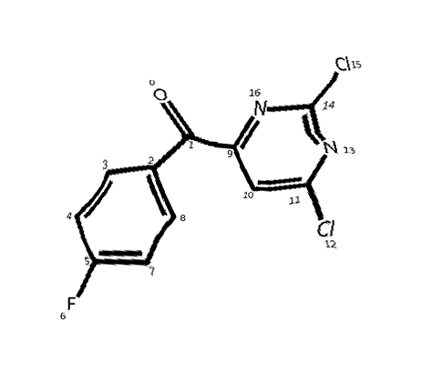 O=C(c1ccc(F)cc1)c1cc(Cl)nc(Cl)n1